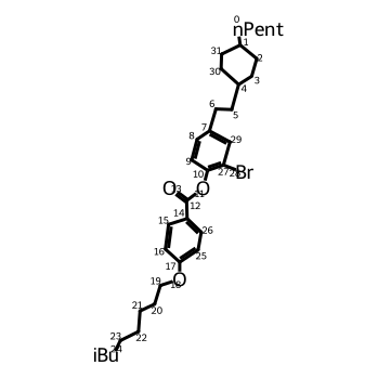 CCCCCC1CCC(CCc2ccc(OC(=O)c3ccc(OCCCCCC(C)CC)cc3)c(Br)c2)CC1